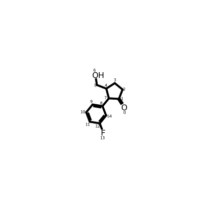 O=C1CCC(CO)C1c1cccc(F)c1